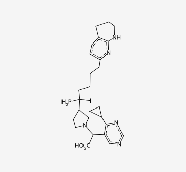 O=C(O)C(c1cncnc1C1CC1)N1CCC(C(P)(I)CCCCc2ccc3c(n2)NCCC3)C1